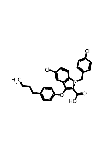 CCCCc1ccc(Oc2c(C(=O)O)n(Cc3ccc(Cl)cc3)c3ccc(Cl)cc23)cc1